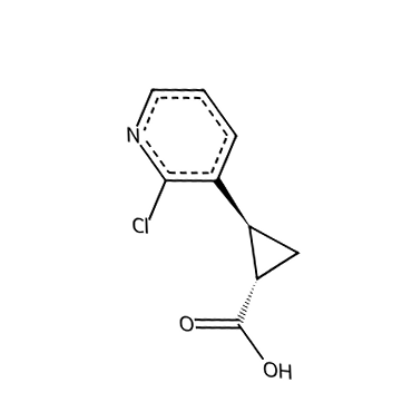 O=C(O)[C@H]1C[C@@H]1c1cccnc1Cl